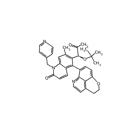 CC(=O)[C@@H](OC(C)(C)C)c1c(C)cc2c(ccc(=O)n2Cc2ccncc2)c1-c1ccc2c3c(ccnc13)CCO2